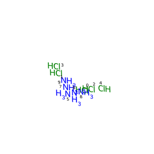 Cl.Cl.Cl.Cl.Cl.N.N.N.N.N